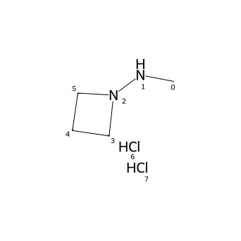 CNN1CCC1.Cl.Cl